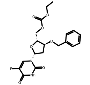 CCOC(=O)OC[C@H]1O[C@@H](n2cc(F)c(=O)[nH]c2=O)C[C@@H]1OCc1ccccc1